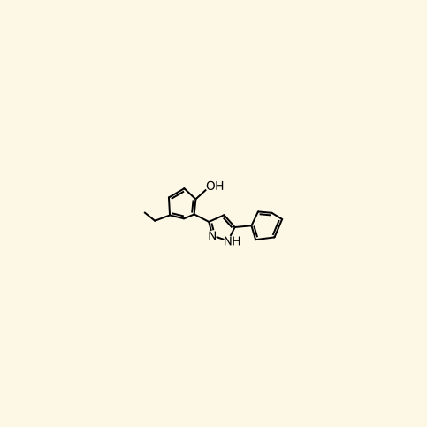 CCc1ccc(O)c(-c2cc(-c3ccccc3)[nH]n2)c1